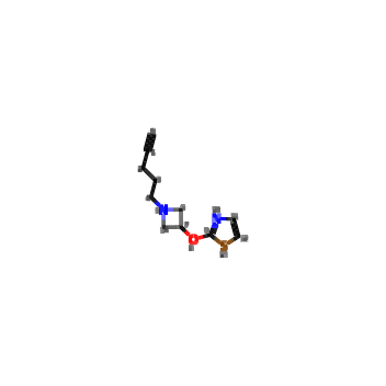 C#CCCCN1CC(Oc2nccs2)C1